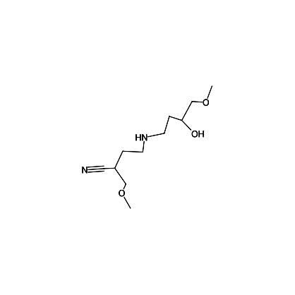 COCC(O)CCNCCC(C#N)COC